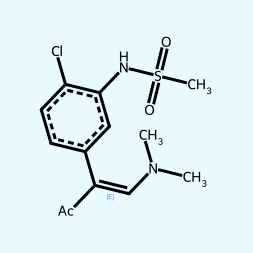 CC(=O)/C(=C/N(C)C)c1ccc(Cl)c(NS(C)(=O)=O)c1